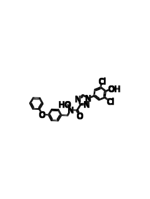 O=C(c1ncn(-c2cc(Cl)c(O)c(Cl)c2)n1)N(O)Cc1ccc(Oc2ccccc2)cc1